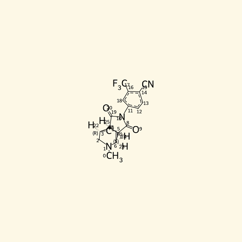 CN1C[C@@H]2CC[C@H]1[C@@H]1C(=O)N(c3ccc(C#N)c(C(F)(F)F)c3)C(=O)[C@H]21